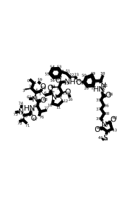 CC[C@H](C)[C@@H]([C@@H](CC(=O)N1CCC[C@H]1[C@H](OC)[C@@H](C)C(=O)N[C@H](COc1ccc(/C(C)=N\NC(=O)CCCCCN2C(=O)CC(SC)C2=O)cc1)Cc1ccccc1)OC)N(C)C(=O)[C@@H](NC(=O)[C@H](C(C)C)N(C)C)C(C)C